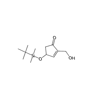 CC(C)(C)[Si](C)(C)OC1C=C(CO)C(=O)C1